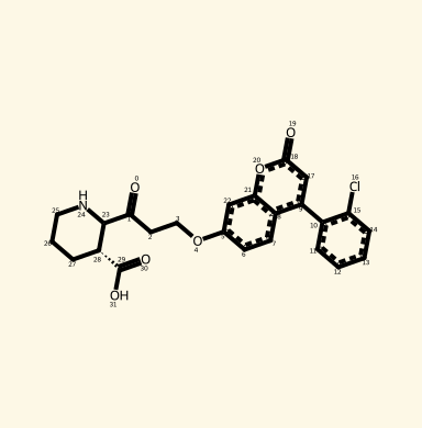 O=C(CCOc1ccc2c(-c3ccccc3Cl)cc(=O)oc2c1)C1NCCC[C@H]1C(=O)O